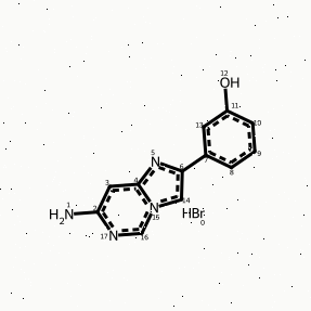 Br.Nc1cc2nc(-c3cccc(O)c3)cn2cn1